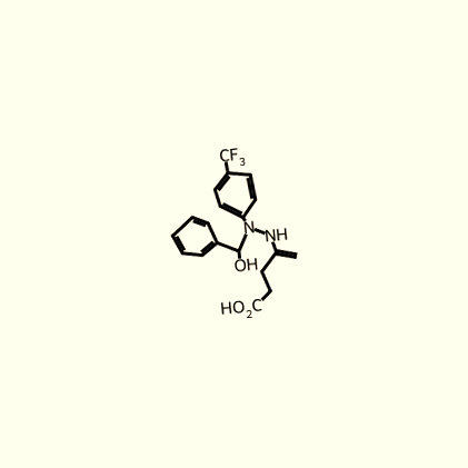 C=C(CCC(=O)O)NN(c1ccc(C(F)(F)F)cc1)C(O)c1ccccc1